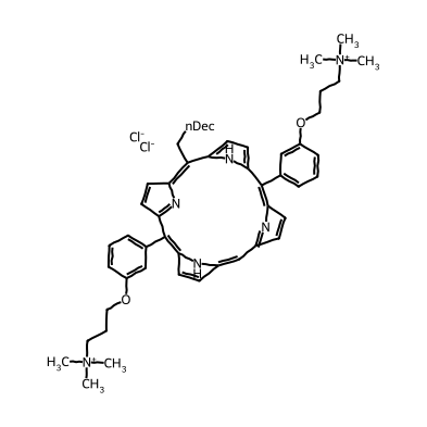 CCCCCCCCCCCc1c2nc(c(-c3cccc(OCCC[N+](C)(C)C)c3)c3ccc(cc4nc(c(-c5cccc(OCCC[N+](C)(C)C)c5)c5ccc1[nH]5)C=C4)[nH]3)C=C2.[Cl-].[Cl-]